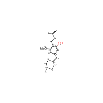 C=C(C)CCc1c(O)cc(C=C2CCC(C)CC2)cc1OC